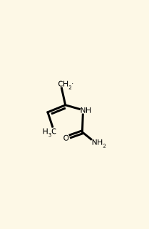 [CH2]C(=CC)NC(N)=O